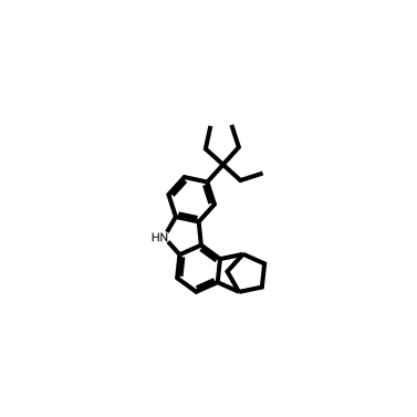 CCC(CC)(CC)c1ccc2[nH]c3ccc4c(c3c2c1)C1CCC4C1